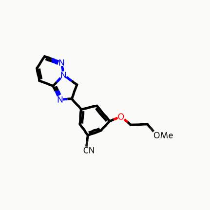 COCCOc1cc(C#N)cc(C2CN3N=CC=CC3=N2)c1